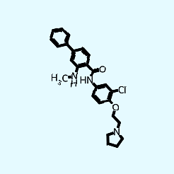 CNc1cc(-c2ccccc2)ccc1C(=O)Nc1ccc(OCCN2CCCC2)c(Cl)c1